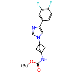 CC(C)(C)OC(=O)NC12CC(n3cnc(-c4ccc(F)c(F)c4)c3)(C1)C2